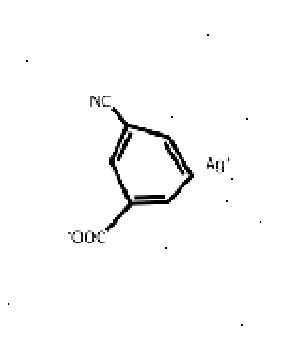 N#Cc1cccc(C(=O)[O-])c1.[Ag+]